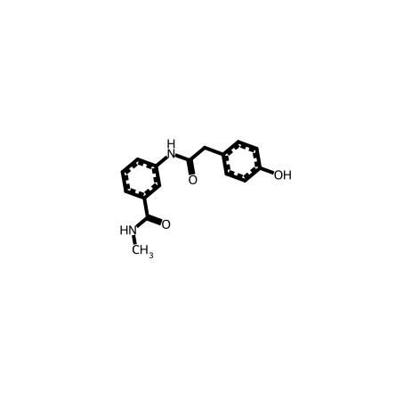 CNC(=O)c1cccc(NC(=O)Cc2ccc(O)cc2)c1